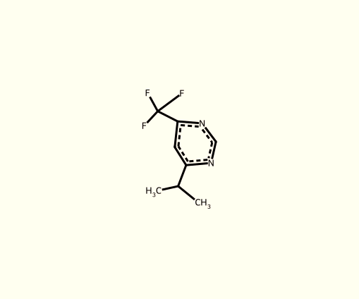 CC(C)c1cc(C(F)(F)F)ncn1